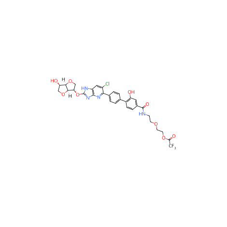 O=C(NCCOCCOC(=O)C(F)(F)F)c1ccc(-c2ccc(-c3nc4nc(O[C@@H]5CO[C@H]6[C@@H]5OC[C@H]6O)[nH]c4cc3Cl)cc2)c(O)c1